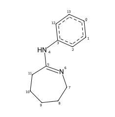 [c]1ccc(NC2=NCCCCC2)cc1